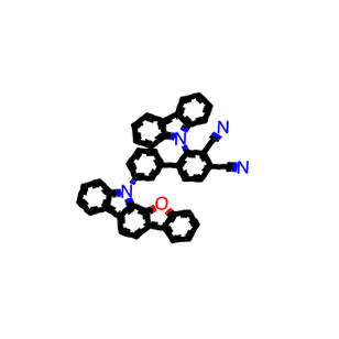 N#Cc1ccc(-c2cccc(-n3c4ccccc4c4ccc5c6ccccc6oc5c43)c2)c(-n2c3ccccc3c3ccccc32)c1C#N